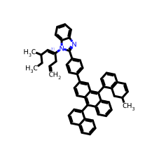 C=CC/C(=C\C(C)CC)n1c(-c2ccc(-c3ccc4c(-c5cccc6ccccc56)c5ccccc5c(-c5cccc6c5CC(C)C=C6)c4c3)cc2)nc2ccccc21